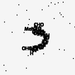 CNC(=O)C(CCC=O)N1C(=O)Cc2cc(NCC(=O)N3CCC(CN4CCN(c5ccc(NC=O)nc5)CC4)CC3)ccc2C1=O